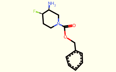 N[C@H]1CN(C(=O)OCc2ccccc2)CC[C@H]1F